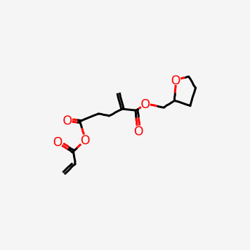 C=CC(=O)OC(=O)CCC(=C)C(=O)OCC1CCCO1